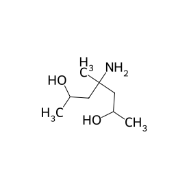 CC(O)CC(C)(N)CC(C)O